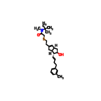 Cc1cccc(CC/C=C/[C@@H]2[C@H]3CC(CCSCC(=O)N(C)C(C)(C)C)=C[C@H]3C[C@H]2O)c1